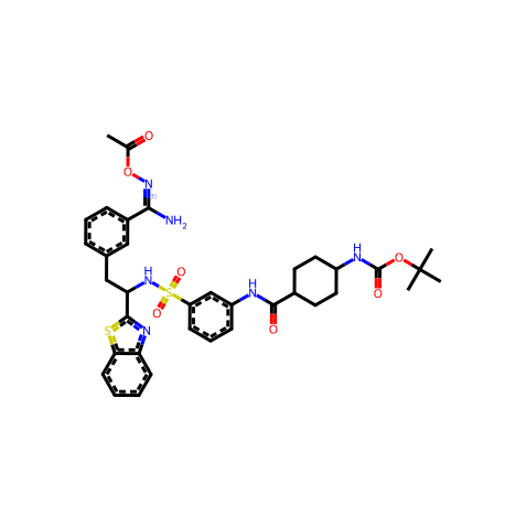 CC(=O)O/N=C(/N)c1cccc(CC(NS(=O)(=O)c2cccc(NC(=O)C3CCC(NC(=O)OC(C)(C)C)CC3)c2)c2nc3ccccc3s2)c1